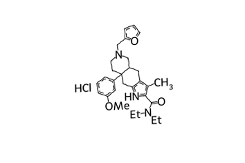 CCN(CC)C(=O)c1[nH]c2c(c1C)CC1CN(Cc3ccco3)CCC1(c1cccc(OC)c1)C2.Cl